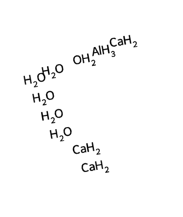 O.O.O.O.O.O.[AlH3].[CaH2].[CaH2].[CaH2]